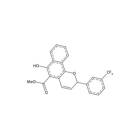 COC(=O)c1c2c(c3ccccc3c1O)OC(c1cccc(C(F)(F)F)c1)C=C2